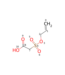 C=CCOS(=O)(=O)CC(=O)O